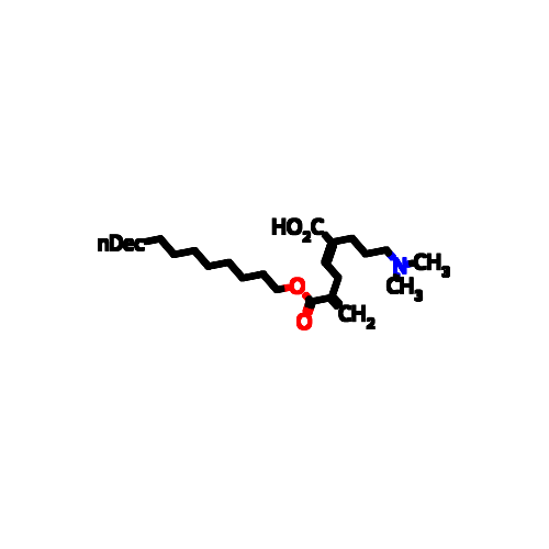 C=C(CC=C(CCCN(C)C)C(=O)O)C(=O)OCCCCCCCCCCCCCCCCCC